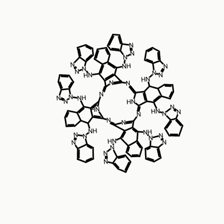 C1=CC2=C(Nn3nnc4ccccc43)c3c(c4nc5nc(nc6[nH]c(nc7nc(nc3[nH]4)-c3c-7c(Nn4nnc7ccccc74)c4ccccc4c3Nn3nnc4ccccc43)c3c6C(Nn4nnc6ccccc64)=C4C=CC=CC4C3Nn3nnc4ccccc43)-c3c-5c(Nn4nnc5ccccc54)c4ccccc4c3Nn3nnc4ccccc43)C(Nn3nnc4ccccc43)C2C=C1